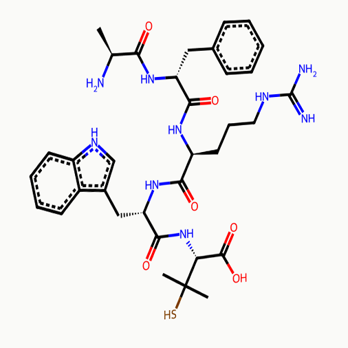 C[C@H](N)C(=O)N[C@H](Cc1ccccc1)C(=O)N[C@@H](CCCNC(=N)N)C(=O)N[C@@H](Cc1c[nH]c2ccccc12)C(=O)N[C@H](C(=O)O)C(C)(C)S